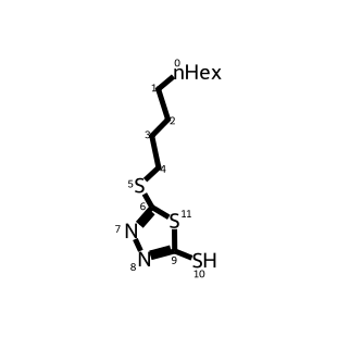 CCCCCCCCCCSc1nnc(S)s1